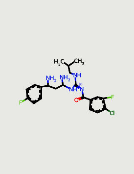 CC(C)CN/C(=N/C(=O)c1ccc(Cl)c(F)c1)NC(N)CC(N)c1ccc(F)cc1